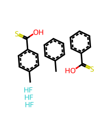 Cc1ccc(C(O)=S)cc1.Cc1ccccc1.F.F.F.OC(=S)c1ccccc1